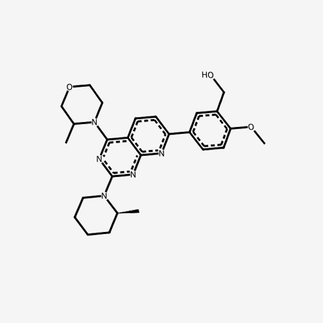 COc1ccc(-c2ccc3c(N4CCOCC4C)nc(N4CCCC[C@@H]4C)nc3n2)cc1CO